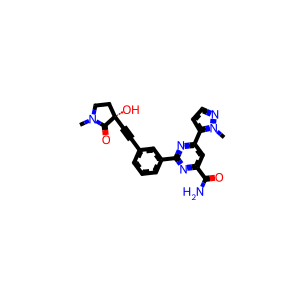 CN1CC[C@@](O)(C#Cc2cccc(-c3nc(C(N)=O)cc(-c4ccnn4C)n3)c2)C1=O